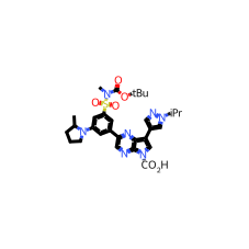 CC1CCCN1c1cc(-c2cnc3c(n2)c(-c2cnn(C(C)C)c2)cn3C(=O)O)cc(S(=O)(=O)N(C)C(=O)OC(C)(C)C)c1